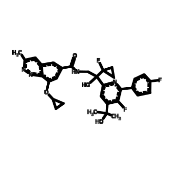 Cc1cc2cc(C(=O)NCC(O)(c3cc(C(C)(C)O)c(F)c(-c4ccc(F)cc4)n3)C3(F)CC3)cc(OC3CC3)c2nn1